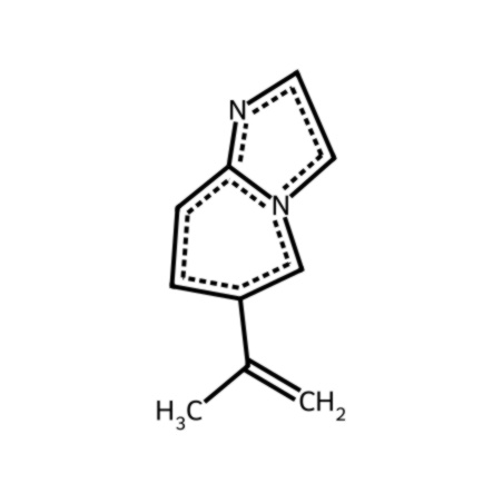 C=C(C)c1ccc2nccn2c1